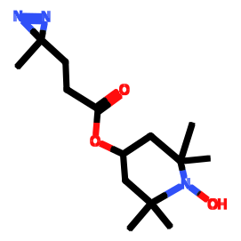 CC1(CCC(=O)OC2CC(C)(C)N(O)C(C)(C)C2)N=N1